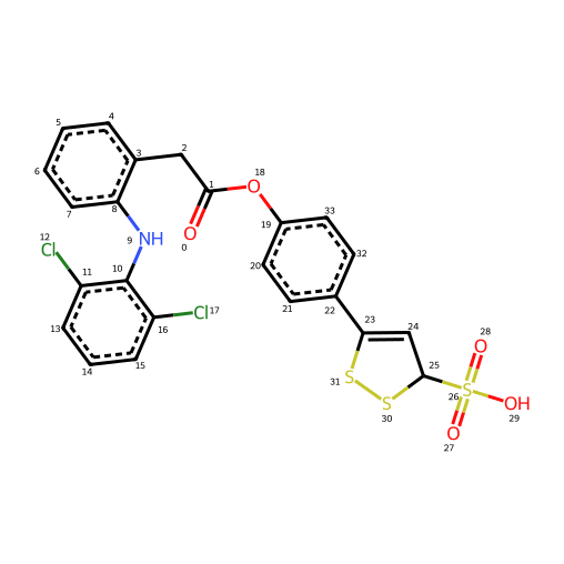 O=C(Cc1ccccc1Nc1c(Cl)cccc1Cl)Oc1ccc(C2=CC(S(=O)(=O)O)SS2)cc1